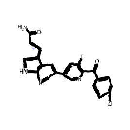 NC(=O)/C=C/c1c[nH]c2ncc(-c3cnc(C(=O)c4ccc(Cl)cc4)c(F)c3)cc12